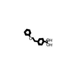 OB(O)c1ccc(CCOc2ccccc2)cc1